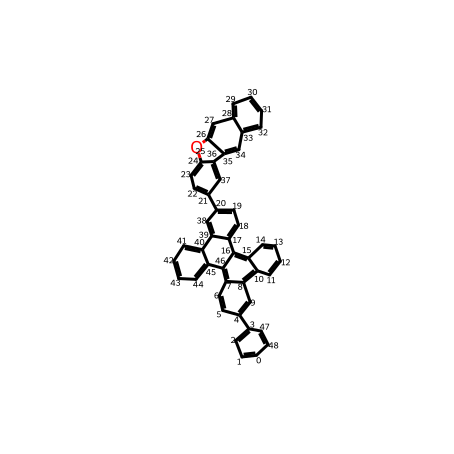 c1ccc(-c2ccc3c(c2)c2ccccc2c2c4ccc(-c5ccc6oc7cc8ccccc8cc7c6c5)cc4c4ccccc4c32)cc1